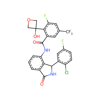 O=C1NC(c2cc(F)ccc2Cl)c2c(NC(=O)c3cc(C(F)(F)F)cc(F)c3C3(O)COC3)cccc21